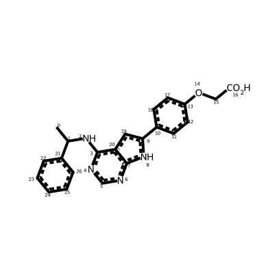 CC(Nc1ncnc2[nH]c(-c3ccc(OCC(=O)O)cc3)cc12)c1ccccc1